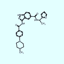 CC(NC(=O)c1ccc2[nH]nc(NC(=O)c3ccc(N4CCN(C)CC4)cc3)c2c1)c1ccco1